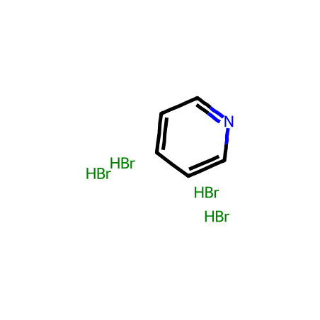 Br.Br.Br.Br.c1ccncc1